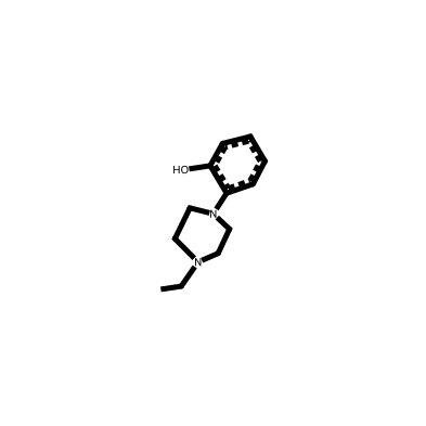 CCN1CCN(c2ccccc2O)CC1